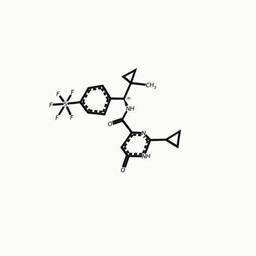 CC1([C@@H](NC(=O)c2cc(=O)[nH]c(C3CC3)n2)c2ccc(S(F)(F)(F)(F)F)cc2)CC1